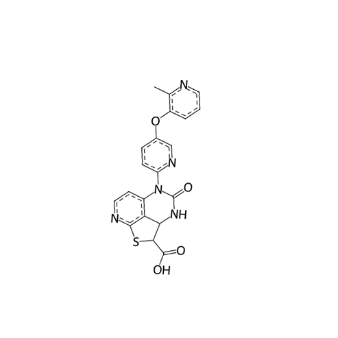 Cc1ncccc1Oc1ccc(N2C(=O)NC3c4c2ccnc4SC3C(=O)O)nc1